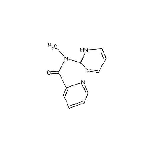 CN(C(=O)c1ccccn1)C1N=CC=CN1